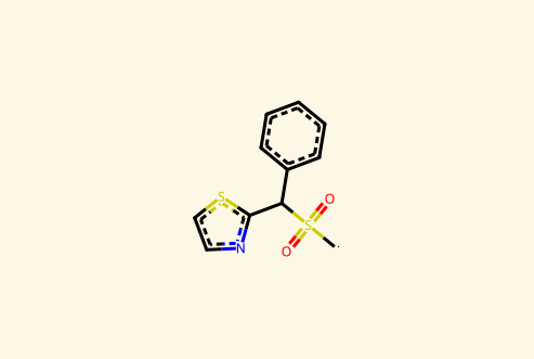 [CH2]S(=O)(=O)C(c1ccccc1)c1nccs1